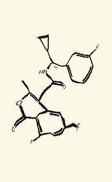 Cc1oc(=O)c2c(F)cc(F)cc2c1C(=O)N[C@H](c1cccc(F)c1)C1CC1